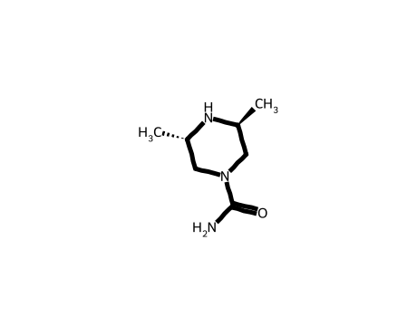 C[C@H]1CN(C(N)=O)C[C@H](C)N1